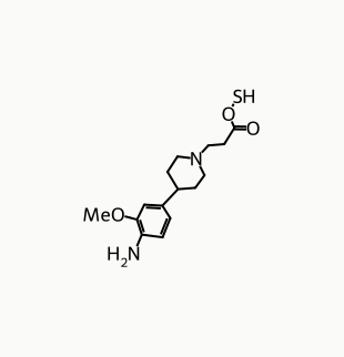 COc1cc(C2CCN(CCC(=O)OS)CC2)ccc1N